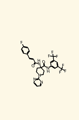 O=C(/C=C/c1ccc(F)cc1)NC1(C(=O)Nc2cc(C(F)(F)F)cc(C(F)(F)F)c2)CCN(c2ncccn2)CC1